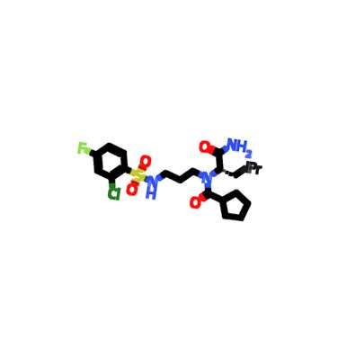 CC(C)C[C@@H](C(N)=O)N(CCCNS(=O)(=O)c1ccc(F)cc1Cl)C(=O)C1CCCC1